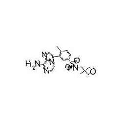 Cc1ccc(S(=O)(=O)NCC2(C)COC2)cc1-c1cnc2c(N)nccn12